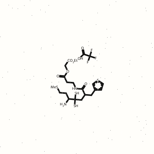 CCOC(=O)COC(=O)CCNC(=O)C(Cc1ccsc1)CC(S)(S)C(N)CCSC.O=C(O)C(F)(F)F